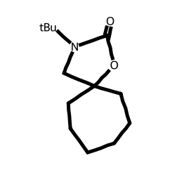 CC(C)(C)N1CC2(CCCCCC2)OC1=O